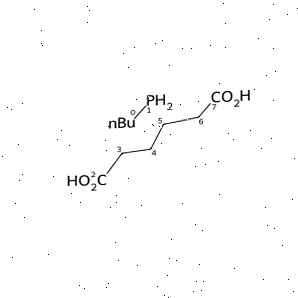 CCCCP.O=C(O)CCCCC(=O)O